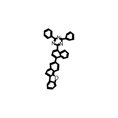 c1ccc(-c2nc(-c3ccccc3)nc(-c3ccc(-c4ccc5c(ccc6c7ccccc7oc56)c4)c4ccccc34)n2)cc1